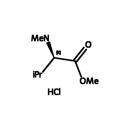 CN[C@@H](C(=O)OC)C(C)C.Cl